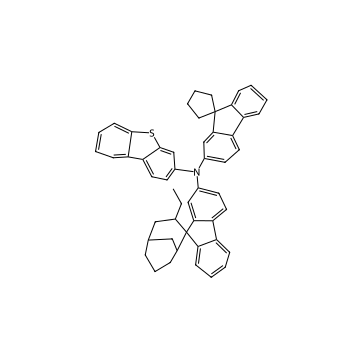 CCC1CC2CCCC(C2)C12c1ccccc1-c1ccc(N(c3ccc4c(c3)C3(CCCC3)c3ccccc3-4)c3ccc4c(c3)sc3ccccc34)cc12